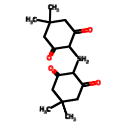 CC1(C)CC(=O)C([SiH2]C2C(=O)CC(C)(C)CC2=O)C(=O)C1